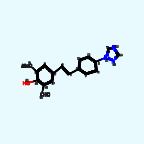 COc1cc(/C=C/c2ccc(-n3cncn3)cc2)cc(C=O)c1O